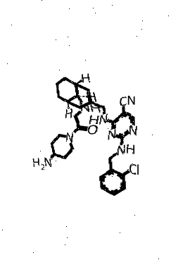 N#Cc1cnc(NCc2ccccc2Cl)nc1NCC1C[C@H]2CCC[C@@H](C1)[C@@H]2NCC(=O)N1CCC(N)CC1